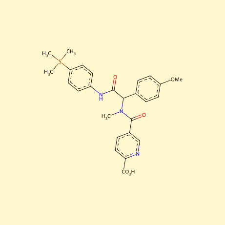 COc1ccc(C(C(=O)Nc2ccc(S(C)(C)C)cc2)N(C)C(=O)c2ccc(C(=O)O)nc2)cc1